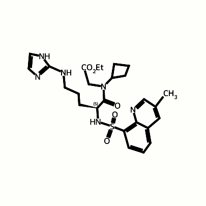 CCOC(=O)CN(C(=O)[C@H](CCCNc1ncc[nH]1)NS(=O)(=O)c1cccc2cc(C)cnc12)C1CCC1